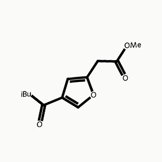 CCC(C)C(=O)c1coc(CC(=O)OC)c1